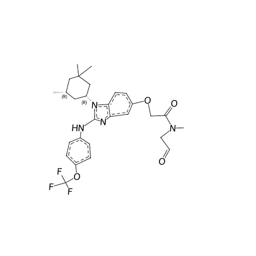 C[C@H]1C[C@@H](n2c(Nc3ccc(OC(F)(F)F)cc3)nc3cc(OCC(=O)N(C)CC=O)ccc32)CC(C)(C)C1